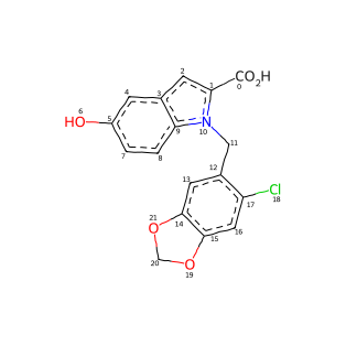 O=C(O)c1cc2cc(O)ccc2n1Cc1cc2c(cc1Cl)OCO2